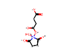 O=C([O-])CCC(=O)O[N+]1(O)C(=O)CCC1=O